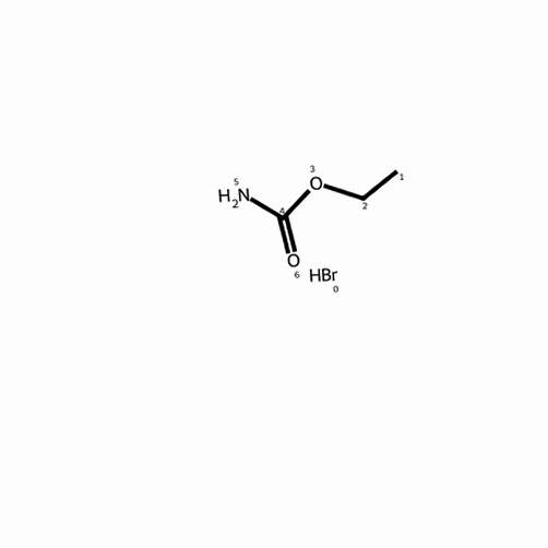 Br.CCOC(N)=O